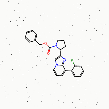 O=C(OCc1ccccc1)N1CCC[C@H]1c1cn2cccc(-c3ccccc3F)c2n1